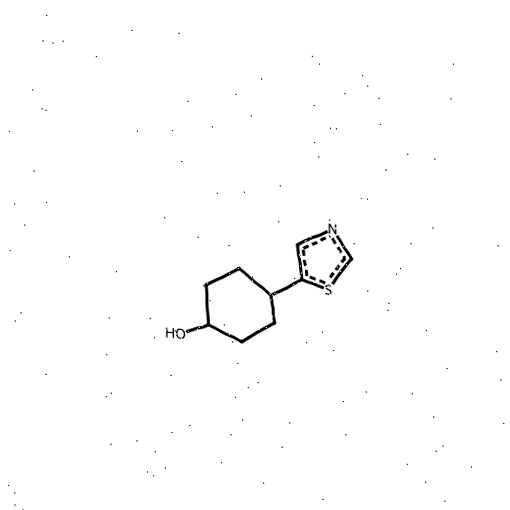 OC1CCC(c2cncs2)CC1